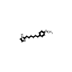 COc1ccc(CCCCCCc2ncc[nH]2)cc1